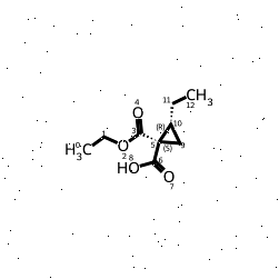 CCOC(=O)[C@@]1(C(=O)O)C[C@H]1CC